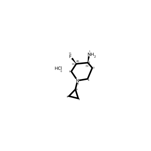 Cl.N[C@H]1CCN(C2CC2)C[C@H]1F